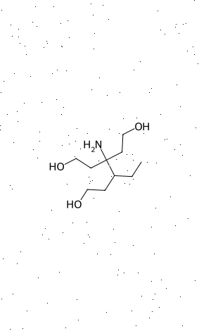 CCC(CCO)C(N)(CCO)CCO